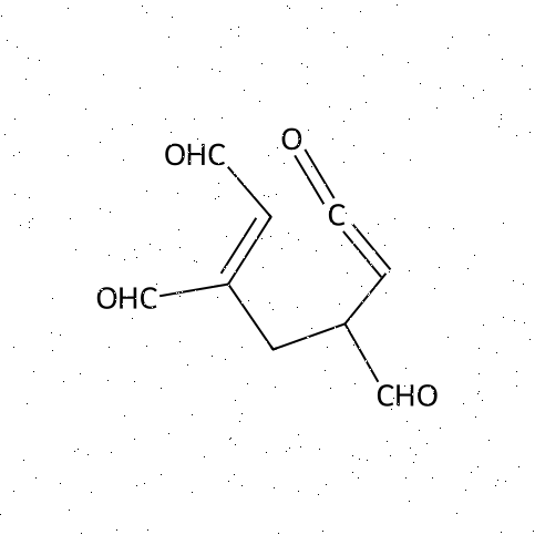 O=C=CC(C=O)CC(C=O)=CC=O